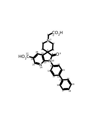 O=C(O)CN1CCC2(CC1)C(=O)N(c1ccc(-c3ccccc3)cc1)c1ncc(C(=O)O)cc12